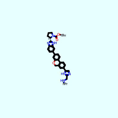 CCCNCc1ncc(-c2ccc3c(c2)COc2cc(-c4ccc5nc([C@@H]6CCCN6C(=O)OC(C)(C)C)[nH]c5c4)ccc2-3)[nH]1